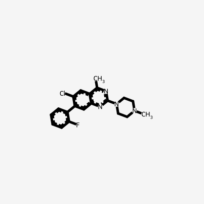 Cc1nc(N2CCN(C)CC2)nc2cc(-c3ccccc3F)c(Cl)cc12